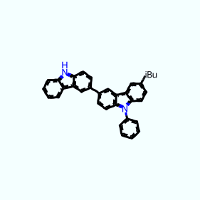 CCC(C)c1ccc2c(c1)c1cc(-c3ccc4[nH]c5ccccc5c4c3)ccc1n2-c1ccccc1